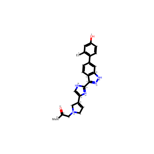 CCc1cc(O)ccc1-c1ccc2c(-c3nc(C4=CCN(CC(=O)NC)C4)c[nH]3)n[nH]c2c1